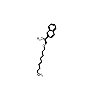 CCCCCCCCCO/C=C(\C)c1ccc2ccccc2c1